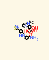 CC(=O)N(Cc1ccccn1)c1ccc([As](=O)(O)O)c(O)c1.NC(=O)c1cccc(NCc2ccc(-c3csnn3)cc2)c1